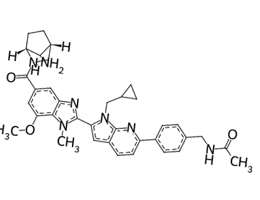 COc1cc(C(=O)N2C[C@H]3CC[C@@H]2[C@@H]3N)cc2nc(-c3cc4ccc(-c5ccc(CNC(C)=O)cc5)nc4n3CC3CC3)n(C)c12